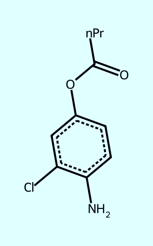 CCCC(=O)Oc1ccc(N)c(Cl)c1